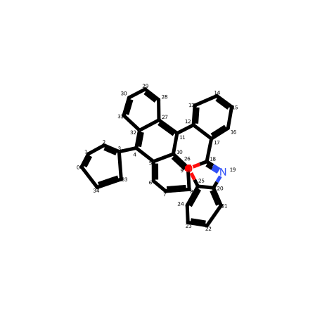 c1ccc(-c2c3ccccc3c(-c3ccccc3-c3nc4ccccc4o3)c3ccccc23)cc1